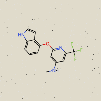 CNc1cc(Oc2cccc3[nH]ccc23)nc(C(F)(F)F)c1